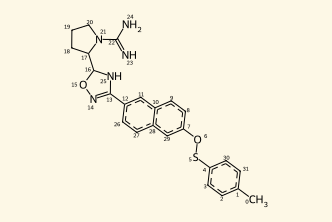 Cc1ccc(SOc2ccc3cc(C4=NOC(C5CCCN5C(=N)N)N4)ccc3c2)cc1